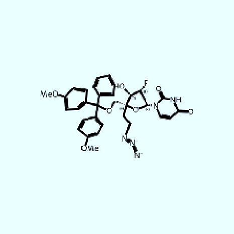 COc1ccc(C(OC[C@@]2(CCN=[N+]=[N-])O[C@@H](n3ccc(=O)[nH]c3=O)[C@H](F)[C@@H]2O)(c2ccccc2)c2ccc(OC)cc2)cc1